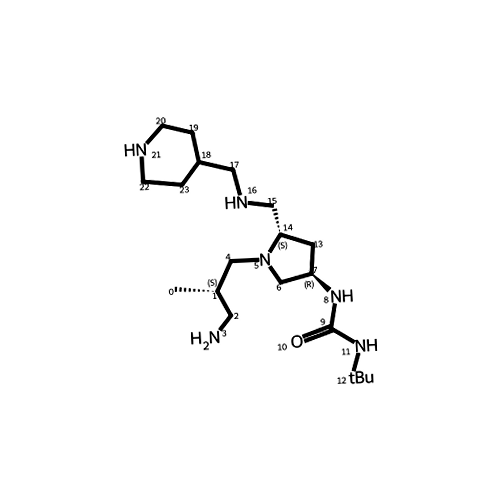 C[C@@H](CN)CN1C[C@H](NC(=O)NC(C)(C)C)C[C@H]1CNCC1CCNCC1